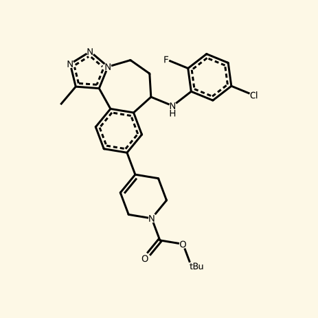 Cc1nnn2c1-c1ccc(C3=CCN(C(=O)OC(C)(C)C)CC3)cc1C(Nc1cc(Cl)ccc1F)CC2